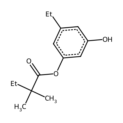 CCc1cc(O)cc(OC(=O)C(C)(C)CC)c1